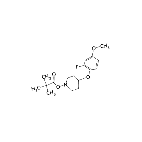 COc1ccc(OC2CCN(OC(=O)C(C)(C)C)CC2)c(F)c1